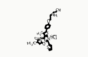 CC1=CC(=O)N(Nc2nc(-c3cccs3)nc3sc(-c4ccc(OCCNCCC#N)cc4)c(C)c23)C1=O.Cl